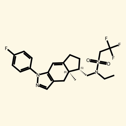 CCN(C[C@H]1CCC2=Cc3c(cnn3-c3ccc(F)cc3)C[C@@]21C)S(=O)(=O)CC(F)(F)F